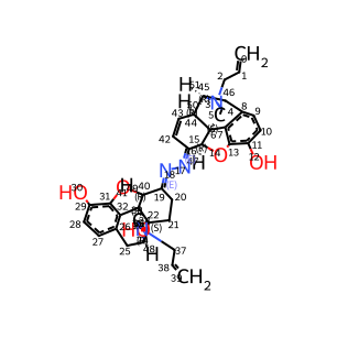 C=CCN1CC[C@]23c4c5ccc(O)c4O[C@H]2/C(=N/N=C2\CC[C@@]4(O)[C@H]6Cc7ccc(O)c8c7[C@@]4(CCN6CC=C)[C@H]2O8)C=C[C@H]3[C@H]1C5